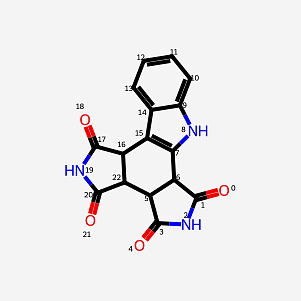 O=C1NC(=O)C2C1c1[nH]c3ccccc3c1C1C(=O)NC(=O)C12